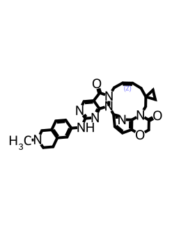 CN1CCc2cc(Nc3ncc4c(=O)n5n(c4n3)-c3ccc4c(n3)N(CC3(C/C=C\C5)CC3)C(=O)CO4)ccc2C1